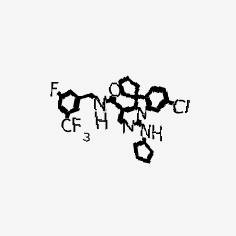 O=C(NCc1cc(F)cc(C(F)(F)F)c1)c1cnc(NC2CCCC2)nc1C1(c2ccc(Cl)cc2)CCCC1